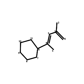 C=C(C)C=C(C)C1CCCCC1